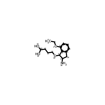 CCOc1cccc2c1C(OCCCC(O)O)C(N)C2